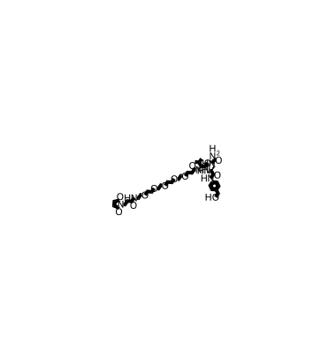 CC(C)[C@H](NC(=O)CCOCCOCCOCCOCCOCCNC(=O)CCN1C(=O)C=CC1=O)C(=O)N[C@@H](CNC(N)=O)C(=O)Nc1ccc(CO)cc1